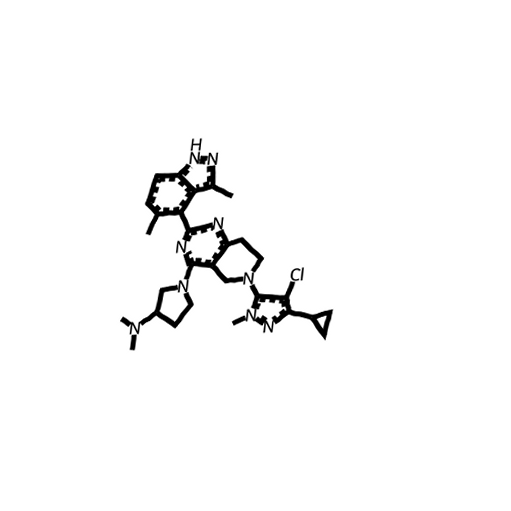 Cc1ccc2[nH]nc(C)c2c1-c1nc2c(c(N3CCC(N(C)C)C3)n1)CN(c1c(Cl)c(C3CC3)nn1C)CC2